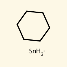 C1CCCCC1.[SnH2]